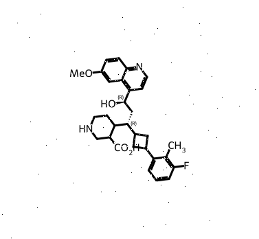 COc1ccc2nccc([C@H](O)C[C@H](C3CC(c4cccc(F)c4C)C3)C3CCNCC3C(=O)O)c2c1